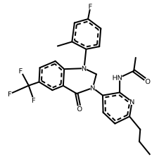 CCCc1ccc(N2CN(c3ccc(F)cc3C)c3ccc(C(F)(F)F)cc3C2=O)c(NC(C)=O)n1